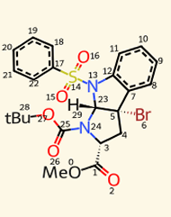 COC(=O)[C@H]1C[C@]2(Br)c3ccccc3N(S(=O)(=O)c3ccccc3)[C@H]2N1C(=O)OC(C)(C)C